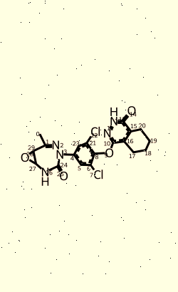 CC1=NN(c2cc(Cl)c(Oc3n[nH]c(=O)c4c3CCCC4)c(Cl)c2)C(=O)NC2OC12